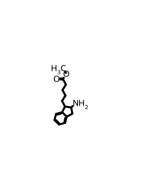 COC(=O)CCCCC1c2ccccc2CC1N